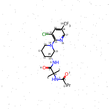 CC(C)C(=O)NC(C)(C)C(=O)N[C@@H]1CCCN(c2ncc(C(F)(F)F)cc2Cl)C1